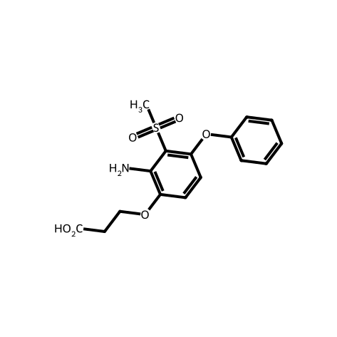 CS(=O)(=O)c1c(Oc2ccccc2)ccc(OCCC(=O)O)c1N